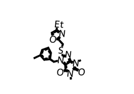 CCc1coc(CSc2nc3c(c(=O)n(C)c(=O)n3C)n2Cc2cccc(C)c2)n1